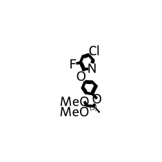 COC(OC)[C@H](C)Oc1ccc(Oc2ncc(Cl)cc2F)cc1